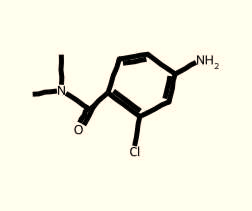 CN(C)C(=O)c1ccc(N)cc1Cl